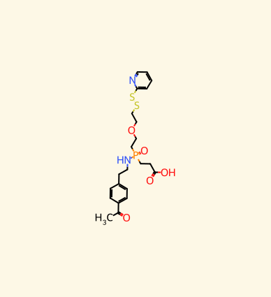 CC(=O)c1ccc(CCNP(=O)(CCOCCSSc2ccccn2)CCC(=O)O)cc1